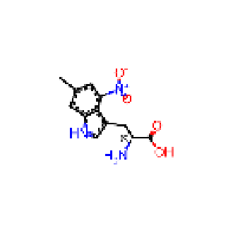 Cc1cc([N+](=O)[O-])c2c(C[C@H](N)C(=O)O)c[nH]c2c1